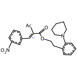 CC(=O)/C(=C\c1cccc([N+](=O)[O-])c1)C(=O)OCCc1ccccc1N1CCCCC1